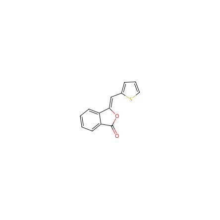 O=C1OC(=Cc2cccs2)c2ccccc21